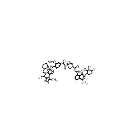 CC[C@@H]1c2nnc(C)n2-c2cnc(Nc3ccc(C(=O)NC4(C)CCN(C(=O)CNc5cccc6c(C)nn(C7CCC(=O)NC7=O)c(=O)c56)CC4)cc3OC)nc2N1CC1CCCCC1